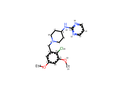 CCOc1cc(CN2CCC(Nc3ncccn3)CC2)c(Cl)c(OCC)c1